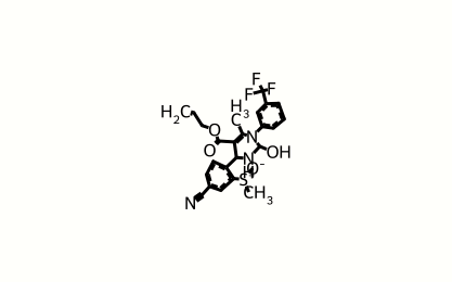 C=CCOC(=O)C1=C(C)N(c2cccc(C(F)(F)F)c2)C(O)NC1c1ccc(C#N)cc1[S+](C)[O-]